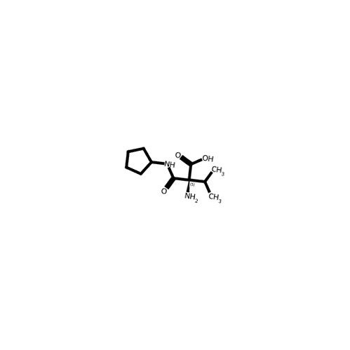 CC(C)[C@@](N)(C(=O)O)C(=O)NC1CCCC1